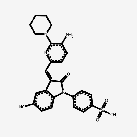 CS(=O)(=O)c1ccc(N2C(=O)C(=Cc3ccc(N)c(N4CCCCC4)n3)c3cc(C#N)ccc32)cc1